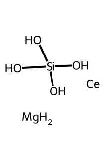 O[Si](O)(O)O.[Ce].[MgH2]